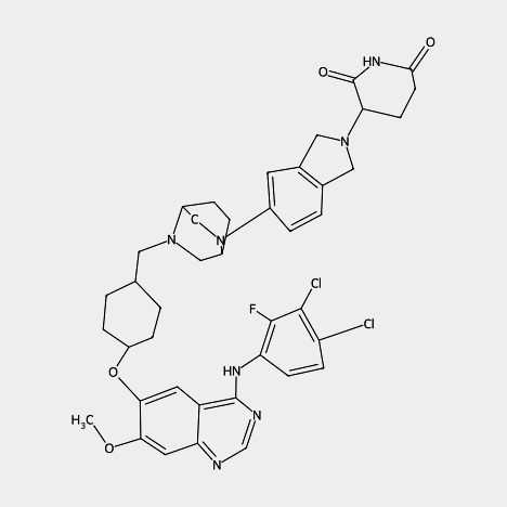 COc1cc2ncnc(Nc3ccc(Cl)c(Cl)c3F)c2cc1OC1CCC(CN2CC3CCC2CN3c2ccc3c(c2)CN(C2CCC(=O)NC2=O)C3)CC1